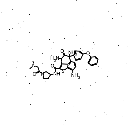 CN(C)CC(=O)N1CCC(NC(=O)c2sc3c(N)ccc4c3c2C(N)C(=O)C4(N)c2ccc(Oc3ccccc3)cc2)C1